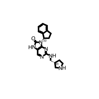 O=c1[nH]c2cnc(NC[C@@H]3CCNC3)nc2n1[C@H]1CCc2ccccc21